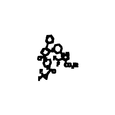 CCOC(=O)c1cnn(C2CCCN(C3=C(c4ccccc4)C=CC(Cl)(N4CCN(C(=O)C5CC5(F)F)CC4)C3)C2)c1C(F)F